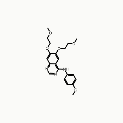 COCCOc1cc2ncnc(Nc3ccc(OC)cc3)c2cc1OCCOC